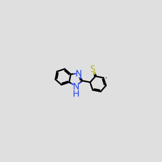 S=C1[C]=CC=CC1c1nc2ccccc2[nH]1